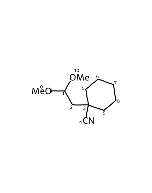 COC(CC1(C#N)CCCCC1)OC